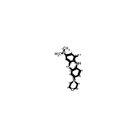 CN(C)c1cc(F)c2c(c1)Sc1cc(N3CCOCC3)ccc1N2